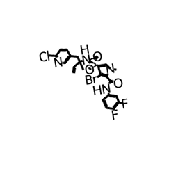 C=CC(C)(Cc1ccc(Cl)nc1)NS(=O)(=O)c1cn(C)c(C(=O)Nc2ccc(F)c(F)c2)c1Br